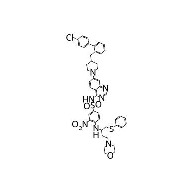 O=[N+]([O-])c1cc(S(=O)(=O)Nc2ncnc3cc(N4CCC(Cc5ccccc5-c5ccc(Cl)cc5)CC4)ccc23)ccc1NC(CCN1CCOCC1)CSc1ccccc1